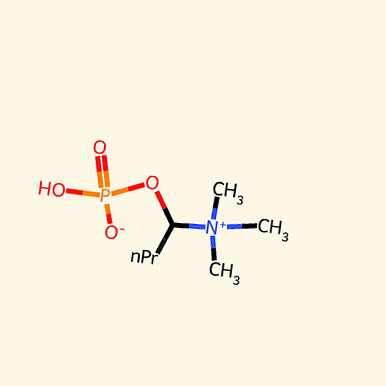 CCCC(OP(=O)([O-])O)[N+](C)(C)C